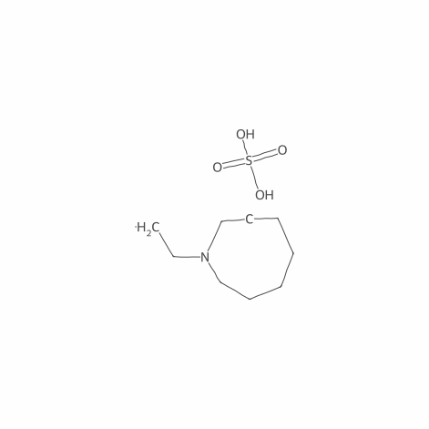 O=S(=O)(O)O.[CH2]CN1CCCCCCC1